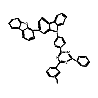 Cc1cccc(-c2nc(-c3ccccc3)nc(-c3ccc(-n4c5ccccc5c5ccc(-c6cccc7c6oc6ccccc67)cc54)cc3)n2)c1